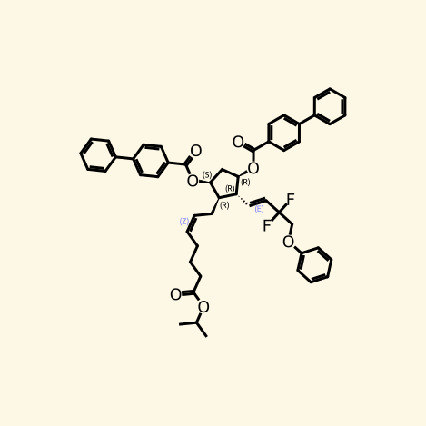 CC(C)OC(=O)CCC/C=C\C[C@@H]1[C@@H](/C=C/C(F)(F)COc2ccccc2)[C@H](OC(=O)c2ccc(-c3ccccc3)cc2)C[C@@H]1OC(=O)c1ccc(-c2ccccc2)cc1